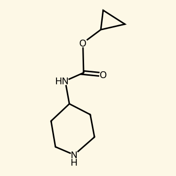 O=C(NC1CCNCC1)OC1CC1